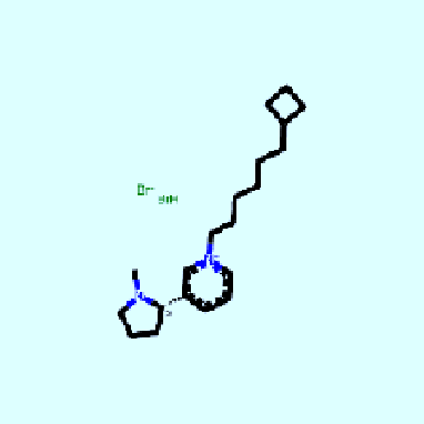 Br.CN1CCC[C@H]1c1ccc[n+](CCCCCCC2CCC2)c1.[Br-]